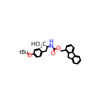 CC(C)(C)Oc1ccc(C[C@H](NC(=O)OCc2cccc3c2Cc2ccccc2-3)C(=O)O)cc1